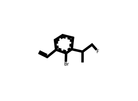 C=Cc1cccc([C](C)CF)c1Br